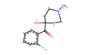 CN1CCC(O)(C(=O)c2ccccc2F)CC1